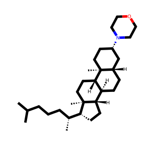 CC(C)CCC[C@@H](C)[C@H]1CC[C@H]2[C@@H]3CC[C@H]4C[C@@H](N5CCOCC5)CC[C@]4(C)[C@H]3CC[C@]12C